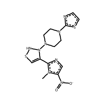 Cn1c([N+](=O)[O-])cnc1C1=CSNN1N1CCN(c2nccs2)CC1